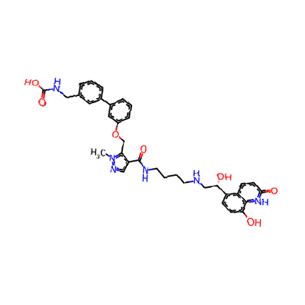 Cn1ncc(C(=O)NCCCCNC[C@H](O)c2ccc(O)c3[nH]c(=O)ccc23)c1COc1cccc(-c2cccc(CNC(=O)O)c2)c1